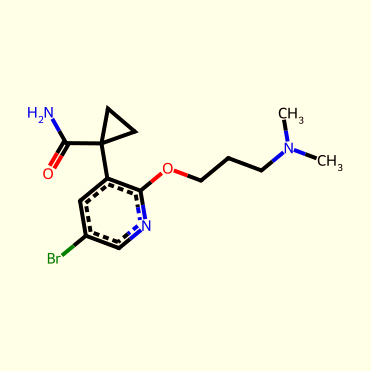 CN(C)CCCOc1ncc(Br)cc1C1(C(N)=O)CC1